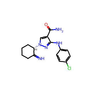 N=C1CCCC[C@@H]1n1cc(C(N)=O)c(Nc2ccc(Cl)cc2)n1